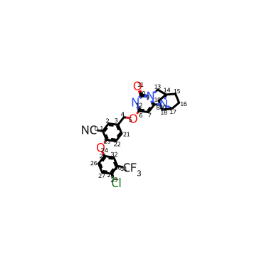 N#Cc1cc(COc2cc3n(c(=O)n2)CC24CCC(CC2)N34)ccc1Oc1ccc(Cl)c(C(F)(F)F)c1